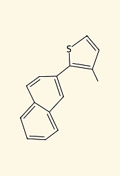 Cc1ccsc1-c1ccc2ccccc2c1